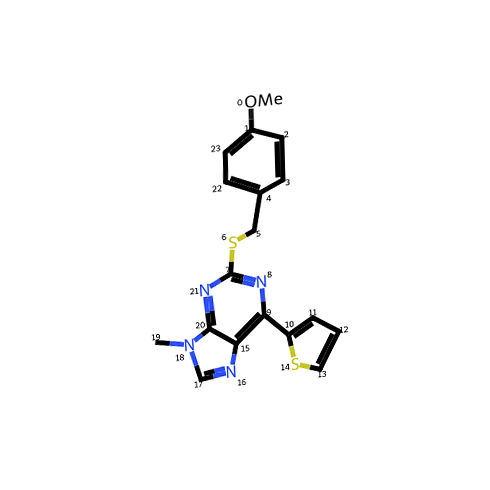 COc1ccc(CSc2nc(-c3cccs3)c3ncn(C)c3n2)cc1